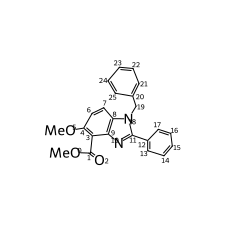 COC(=O)c1c(OC)ccc2c1nc(-c1ccccc1)n2Cc1ccccc1